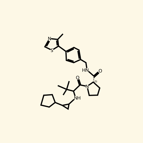 Cc1ncsc1-c1ccc(CNC(=O)[C@@H]2CCCN2C(=O)C(NC2CC2C2CCCC2)C(C)(C)C)cc1